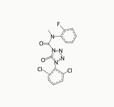 CN(C(=O)n1nnn(-c2c(Cl)cccc2Cl)c1=O)c1ccccc1F